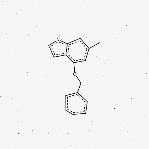 Cc1cc(OCc2ccccc2)c2cc[nH]c2c1